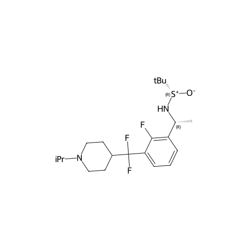 CC(C)N1CCC(C(F)(F)c2cccc([C@@H](C)N[S@@+]([O-])C(C)(C)C)c2F)CC1